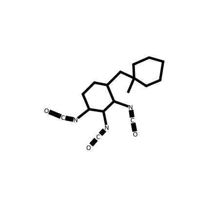 CC1(CC2CCC(N=C=O)C(N=C=O)C2N=C=O)CCCCC1